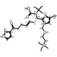 CC(C)(C)N(C(=O)O)[C@@H](C/C=C/CCC(=O)c1ccon1)c1nc(Br)cn1COCC[Si](C)(C)C